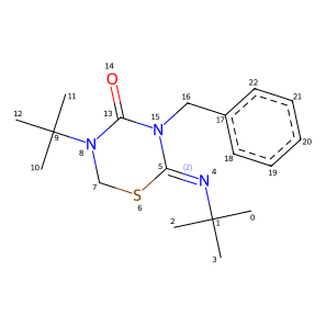 CC(C)(C)/N=C1\SCN(C(C)(C)C)C(=O)N1Cc1ccccc1